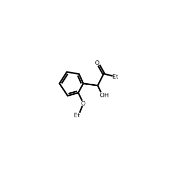 CCOc1ccccc1C(O)C(=O)CC